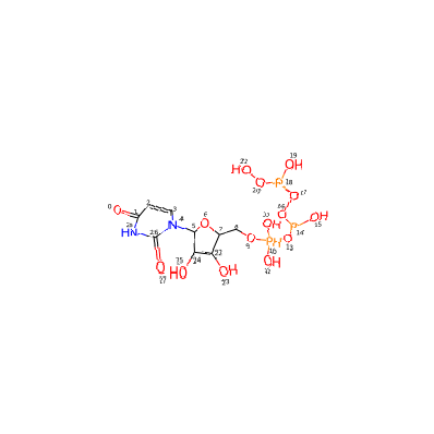 O=c1ccn(C2OC(CO[PH](O)(O)OP(O)OOP(O)OO)C(O)C2O)c(=O)[nH]1